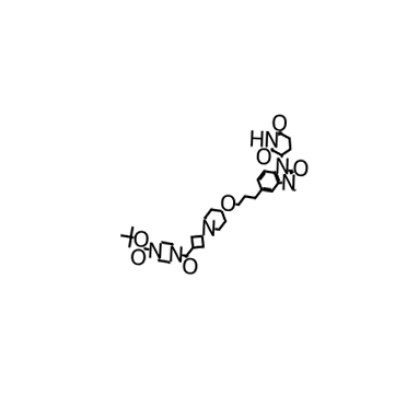 Cn1c(=O)n(C2CCC(=O)NC2=O)c2ccc(CCCOC3CCN(C4CC(C(=O)N5CCN(C(=O)OC(C)(C)C)CC5)C4)CC3)cc21